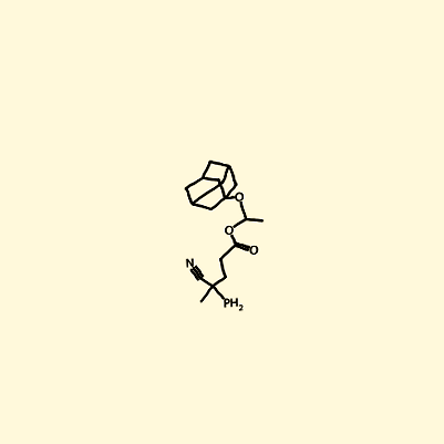 CC(OC(=O)CCC(C)(P)C#N)OC12CC3CC(CC(C3)C1)C2